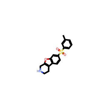 Cc1cccc(S(=O)(=O)c2ccc3c4c(oc3c2)CNCC4)c1